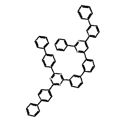 c1ccc(-c2ccc(-c3nc(-c4ccc(-c5ccccc5)cc4)nc(-c4cccc(-c5cccc(-c6cc(-c7cccc(-c8ccccc8)c7)nc(-c7ccccc7)n6)c5)c4)n3)cc2)cc1